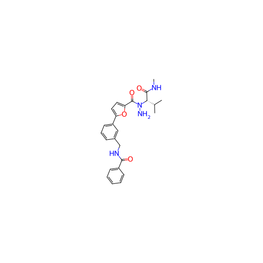 CNC(=O)[C@H](C(C)C)N(N)C(=O)c1ccc(-c2cccc(CNC(=O)c3ccccc3)c2)o1